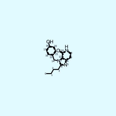 CCCCc1nc2cc[nH]c(=O)c2n1Cc1ccc(O)cc1